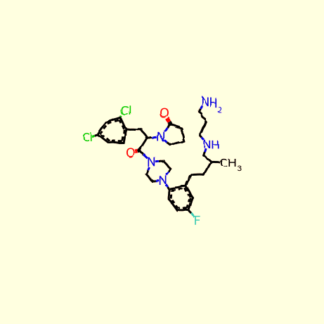 CC(CCc1cc(F)ccc1N1CCN(C(=O)C(Cc2ccc(Cl)cc2Cl)N2CCCC2=O)CC1)CNCCCN